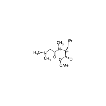 COOC(=O)[C@H](CC(C)C)N(C)C(=O)CN(C)C